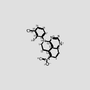 O=[N+]([O-])c1ccc2ncnc3c2c1CCN3c1cccc(Cl)c1F